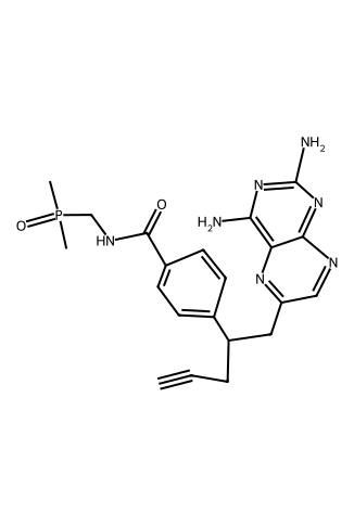 C#CCC(Cc1cnc2nc(N)nc(N)c2n1)c1ccc(C(=O)NCP(C)(C)=O)cc1